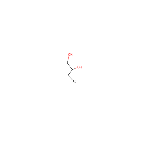 CC(=O)CC(O)CO